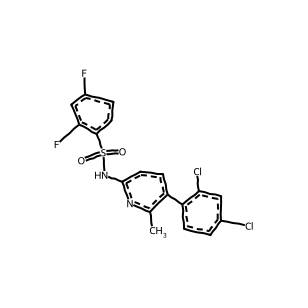 Cc1nc(NS(=O)(=O)c2ccc(F)cc2F)ccc1-c1ccc(Cl)cc1Cl